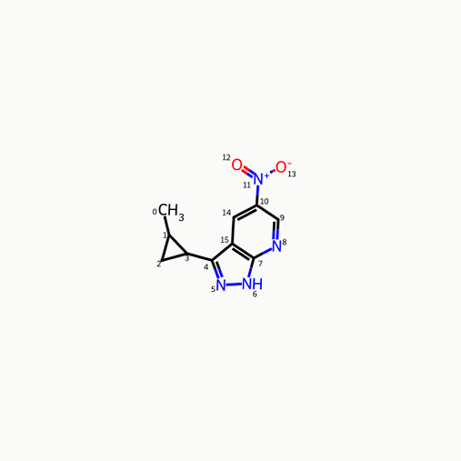 CC1CC1c1n[nH]c2ncc([N+](=O)[O-])cc12